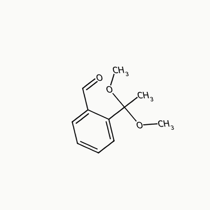 COC(C)(OC)c1ccccc1C=O